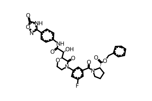 O=C(Nc1ccc(-c2noc(=O)[nH]2)cc1)[C@H](O)[C@H]1OCCN(c2cc(F)cc(C(=O)N3CCC[C@H]3C(=O)OCc3ccccc3)c2)C1=O